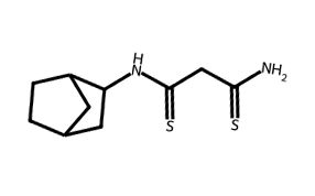 NC(=S)CC(=S)NC1CC2CCC1C2